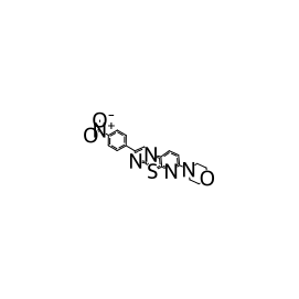 O=[N+]([O-])c1ccc(-c2cn3c(n2)sc2nc(N4CCOCC4)ccc23)cc1